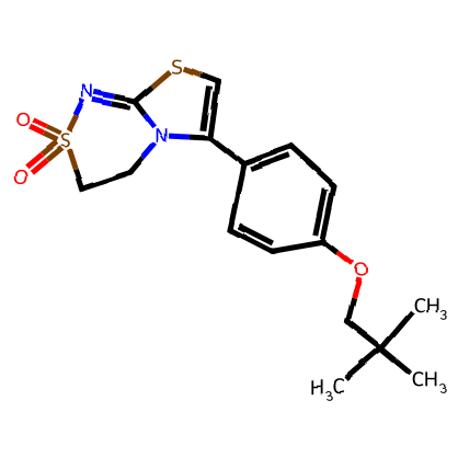 CC(C)(C)COc1ccc(C2=CSC3=NS(=O)(=O)CCN23)cc1